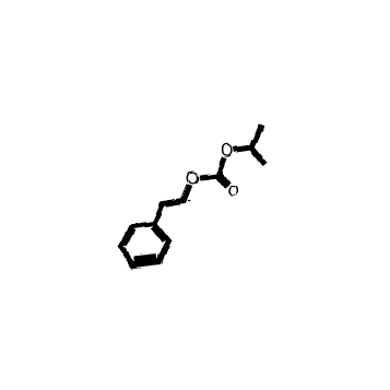 CC(C)OC(=O)O[CH]Cc1ccccc1